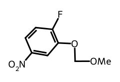 COCOc1cc([N+](=O)[O-])ccc1F